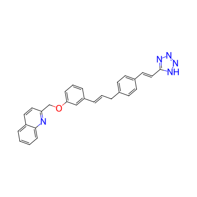 C(=C\c1cccc(OCc2ccc3ccccc3n2)c1)/Cc1ccc(/C=C/c2nnn[nH]2)cc1